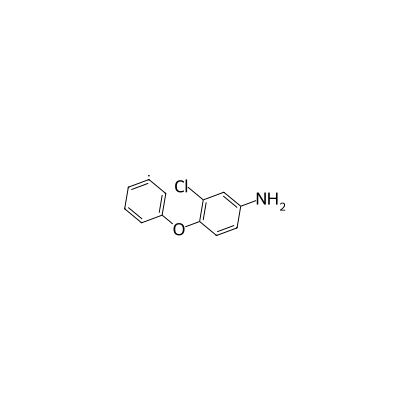 Nc1ccc(Oc2c[c]ccc2)c(Cl)c1